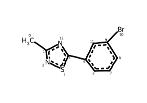 Cc1nsc(-c2cccc(Br)c2)n1